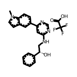 Cn1ccc2cc(-c3cc(NC[C@H](O)c4ccccc4)ncn3)ccc21.O=C(O)C(F)(F)F